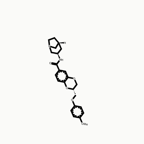 COc1ccc(OC[C@H]2COc3cc(C(=O)N[C@@H]4C[C@H]5CCN(C5)C4)ccc3O2)cc1